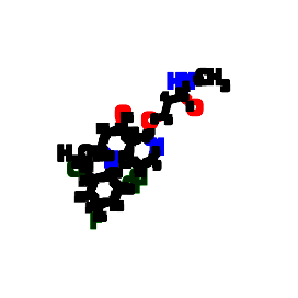 CNC(=O)CCOc1ncc(Cl)c2c1c(=O)cc(C)n2-c1c(Cl)cc(F)cc1Cl